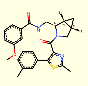 COc1cccc(C(=O)NC[C@@H]2[C@@H]3C[C@@H]3CN2C(=O)c2nc(C)sc2-c2cccc(C)c2)c1